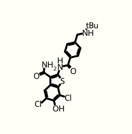 CC(C)(C)NCc1ccc(C(=O)Nc2sc3c(Cl)c(O)c(Cl)cc3c2C(N)=O)cc1